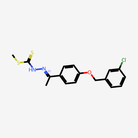 CSC(=S)N/N=C(\C)c1ccc(OCc2cccc(Cl)c2)cc1